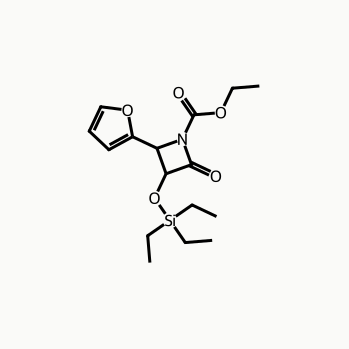 CCOC(=O)N1C(=O)C(O[Si](CC)(CC)CC)C1c1ccco1